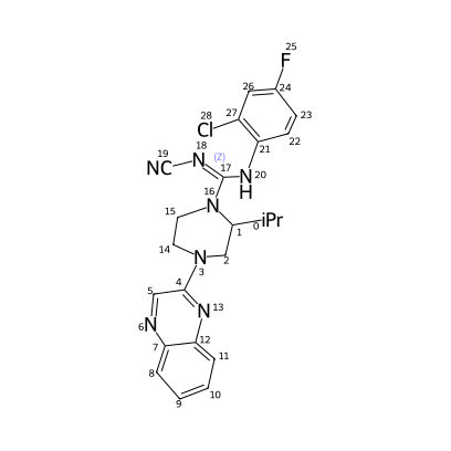 CC(C)C1CN(c2cnc3ccccc3n2)CCN1/C(=N\C#N)Nc1ccc(F)cc1Cl